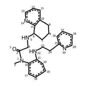 CN(C(=O)CNC1CCCc2cccnc21)c1ccccc1NCCc1ccccn1